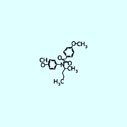 CCCC(C)N(c1ccc(OC)cc1)S(=O)(=O)c1ccc(OC)cc1